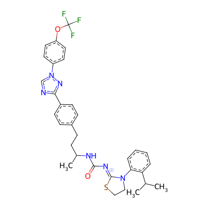 CC(CCc1ccc(-c2ncn(-c3ccc(OC(F)(F)F)cc3)n2)cc1)NC(=O)/N=C1\SCCN1c1ccccc1C(C)C